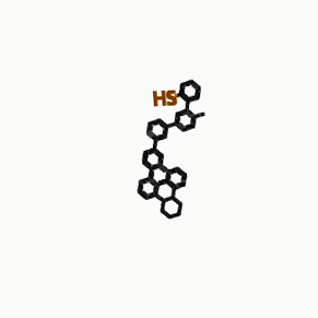 Cc1ccc(-c2cccc(-c3ccc4c(c3)c3cccc5c3c3c(cccc43)C3CCCCC53)c2)cc1-c1ccccc1S